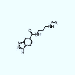 O=C(NCCCNP=S)c1ccc2[nH]nnc2c1